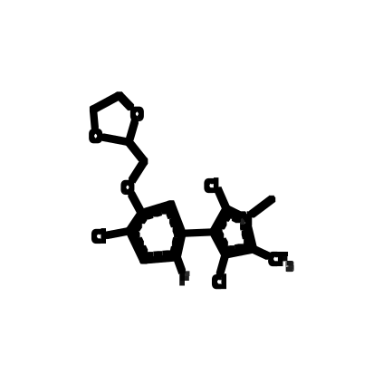 Cn1c(Cl)c(-c2cc(OCC3OCCO3)c(Cl)cc2F)c(Cl)c1C(F)(F)F